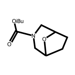 CC(C)COC(=O)N1CC2CCC(C1)O2